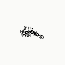 COC[C@@H](C)Nc1cc(Nc2ccc(S(=O)(=O)N3CCC(N4CCOCC4)CC3)cc2OC)nc2[nH]cc(C(F)(F)F)c12